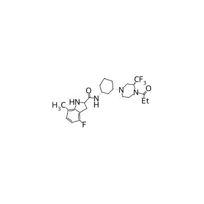 CCC(=O)N1CCN([C@H]2CCC[C@@H](NC(=O)C3Cc4c(F)ccc(C)c4N3)C2)C[C@H]1C(F)(F)F